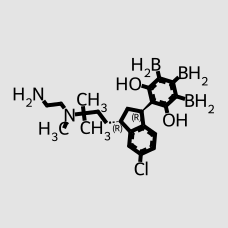 Bc1c(B)c(O)c([C@@H]2C[C@@H](CCC(C)(C)N(C)CCN)c3cc(Cl)ccc32)c(O)c1B